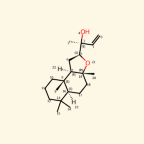 C=C[C@](C)(O)[C@@H]1C[C@@H]2[C@@]3(C)CCCC(C)(C)[C@@H]3CC[C@@]2(C)O1